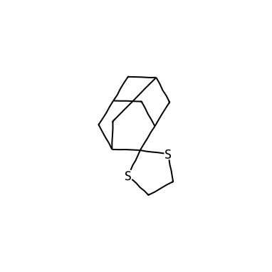 C1CSC2(S1)C1CC3CC(C1)CC2C3